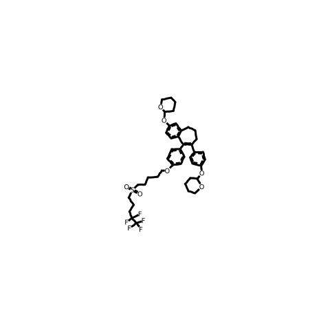 O=S(=O)(CCCCCOc1ccc(C2=C(c3ccc(OC4CCCCO4)cc3)CCCc3cc(OC4CCCCO4)ccc32)cc1)CCCC(F)(F)C(F)(F)F